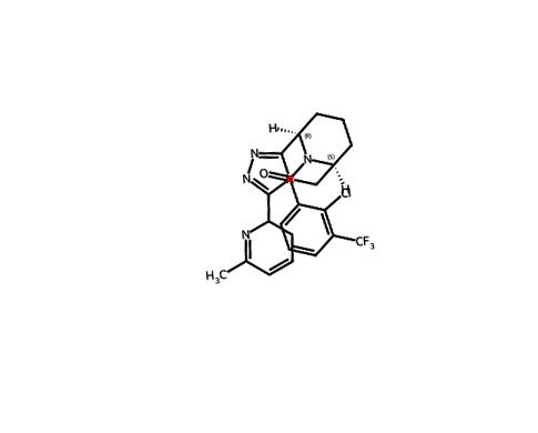 CC1=NC(c2nnc3n2C[C@@H]2CCC[C@H]3N2C(=O)c2cccc(C(F)(F)F)c2Cl)CC=C1